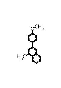 COc1ccc(-c2cc(C)c3ccccc3c2)cc1